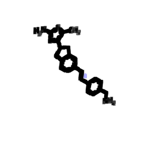 Cc1sc(N)cc1C1Cc2ccc(/C=C/c3ccc(CN)cc3)cc2C1